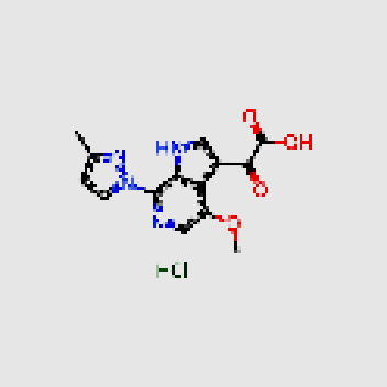 COc1cnc(-n2ccc(C)n2)c2[nH]cc(C(=O)C(=O)O)c12.Cl